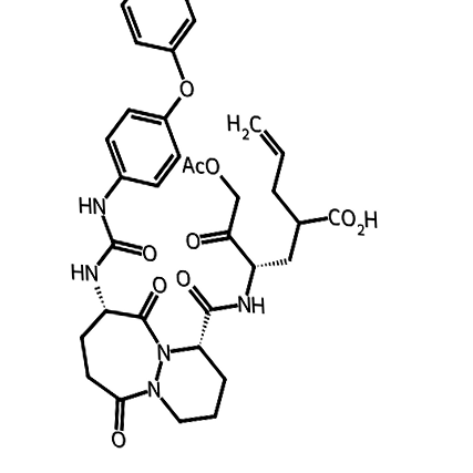 C=CCC(C[C@H](NC(=O)[C@@H]1CCCN2C(=O)CC[C@H](NC(=O)Nc3ccc(Oc4ccccc4)cc3)C(=O)N12)C(=O)COC(C)=O)C(=O)O